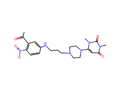 CC(=O)c1cc(NCCCN2CCN(c3cc(=O)n(C)c(=O)n3C)CC2)ccc1[N+](=O)[O-]